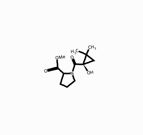 COC(=O)C1CCCN1C(=O)[C@@]1(O)CC1(C)C